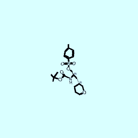 Cc1ccc(S(=O)(=O)OC[C@@H](C[C@H]2CCCOC2)NC(=O)OC(C)(C)C)cc1